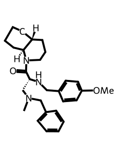 COc1ccc(CN[C@H](CN(C)Cc2ccccc2)C(=O)N2CCC[C@H]3CCCC[C@@H]32)cc1